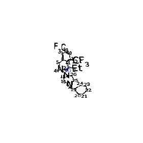 CC/C=C(/N(C)Cc1cc(C(F)(F)F)cc(C(F)(F)F)c1)N1CCN(CC2CCCCC2)CC1